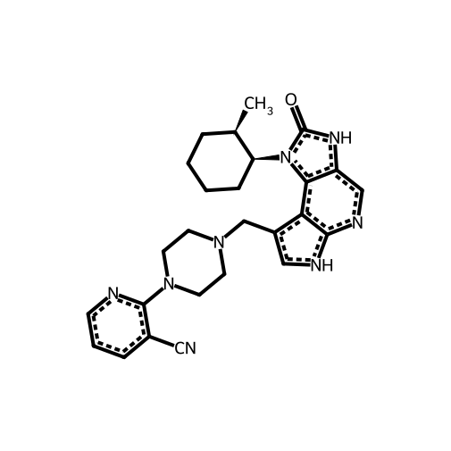 C[C@@H]1CCCC[C@@H]1n1c(=O)[nH]c2cnc3[nH]cc(CN4CCN(c5ncccc5C#N)CC4)c3c21